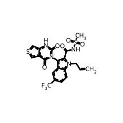 C=CCn1c(C(=O)NS(C)(=O)=O)c(-n2c(=O)[nH]c3cscc3c2=O)c2cc(C(F)(F)F)ccc21